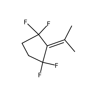 CC(C)=C1C(F)(F)CCC1(F)F